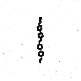 C/C=C/[C@H]1CC[C@H](C2CCC(CCc3ccc(-c4ccc(CCF)cc4)cc3)CC2)CC1